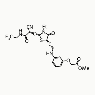 CCn1c(=C=C(C#N)C(=O)NCC(F)(F)F)sc(=C=CNc2cccc(OCC(=O)OC)c2)c1=O